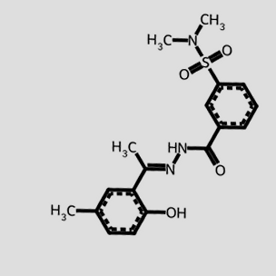 C/C(=N\NC(=O)c1cccc(S(=O)(=O)N(C)C)c1)c1cc(C)ccc1O